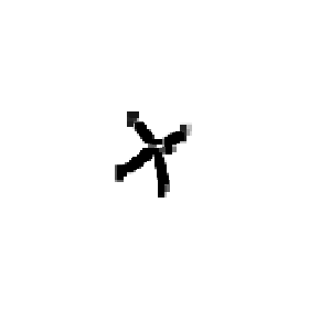 [F][Ca]([F])([F])[F]